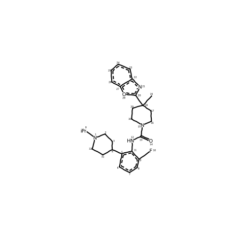 CC(C)N1CCC(c2cccc(F)c2NC(=O)N2CCC(C)(c3nc4ccccc4o3)CC2)CC1